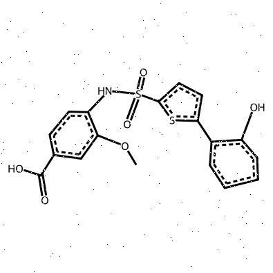 COc1cc(C(=O)O)ccc1NS(=O)(=O)c1ccc(-c2ccccc2O)s1